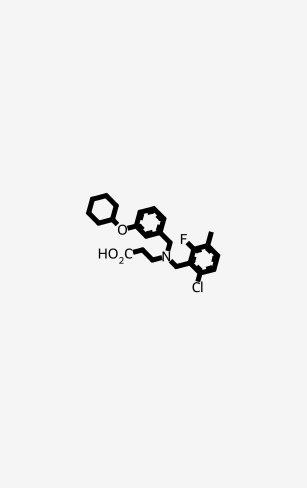 Cc1ccc(Cl)c(CN(CCC(=O)O)Cc2cccc(OC3CCCCC3)c2)c1F